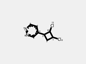 ClC1CC(c2ccnnc2)C1Cl